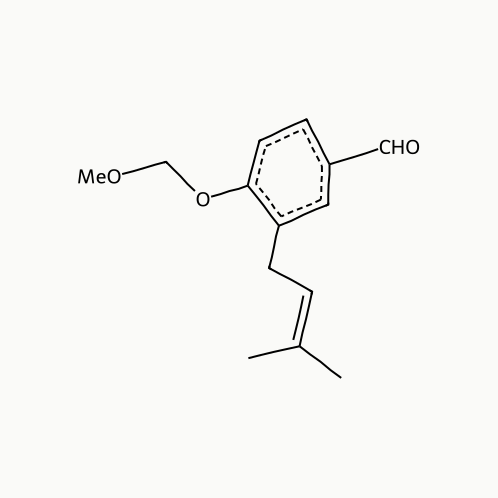 COCOc1ccc(C=O)cc1CC=C(C)C